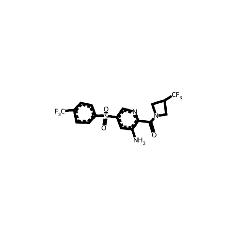 Nc1cc(S(=O)(=O)c2ccc(C(F)(F)F)cc2)cnc1C(=O)N1CC(C(F)(F)F)C1